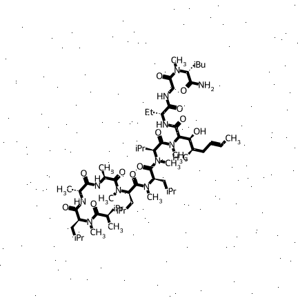 C/C=C/C[C@@H](C)[C@H](O)C(C(=O)N[C@H](CC)C(=O)NCC(=O)N(C)[C@@H](C(N)=O)C(C)CC)N(C)C(=O)[C@H](C(C)C)N(C)C(=O)[C@@H](CC(C)C)N(C)C(=O)[C@@H](CC(C)C)N(C)C(=O)[C@H](C)NC(=O)[C@@H](C)NC(=O)[C@H](CC(C)C)N(C)C(=O)[C@H](C)C(C)C